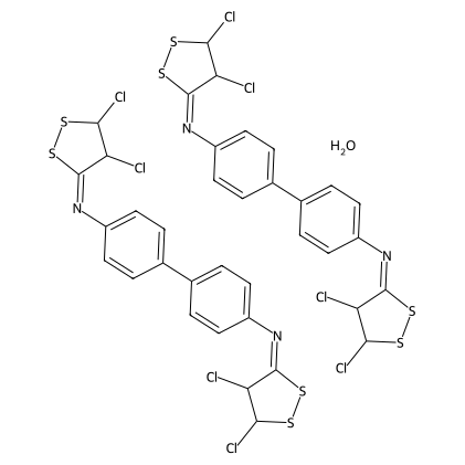 ClC1SSC(=Nc2ccc(-c3ccc(N=C4SSC(Cl)C4Cl)cc3)cc2)C1Cl.ClC1SSC(=Nc2ccc(-c3ccc(N=C4SSC(Cl)C4Cl)cc3)cc2)C1Cl.O